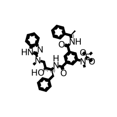 C[C@@H](NC(=O)c1cc(C(=O)N[C@@H](Cc2ccccc2)[C@H](O)CN(C)c2nc3ccccc3[nH]2)cc(N(C)S(C)(=O)=O)c1)c1ccccc1